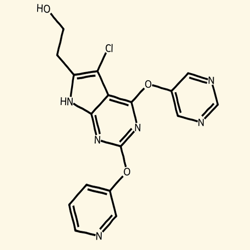 OCCc1[nH]c2nc(Oc3cccnc3)nc(Oc3cncnc3)c2c1Cl